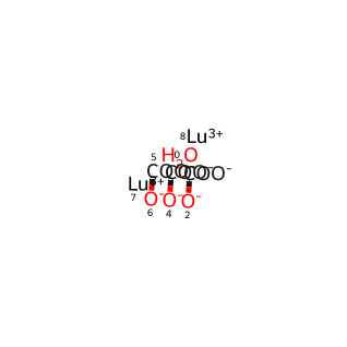 O.O=C([O-])[O-].O=C([O-])[O-].O=C([O-])[O-].[Lu+3].[Lu+3]